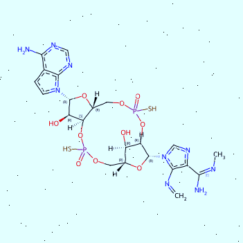 C=Nc1c(/C(N)=N\C)ncn1[C@@H]1O[C@@H]2COP(=O)(S)O[C@H]3[C@@H](O)[C@H](n4ccc5c(N)ncnc54)O[C@@H]3COP(=O)(S)O[C@@H]1[C@@H]2O